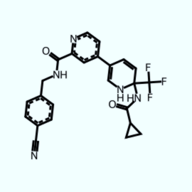 N#Cc1ccc(CNC(=O)c2cc(C3=CNC(NC(=O)C4CC4)(C(F)(F)F)C=C3)ccn2)cc1